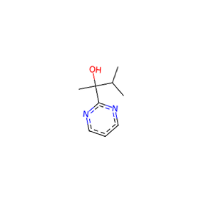 CC(C)C(C)(O)c1ncccn1